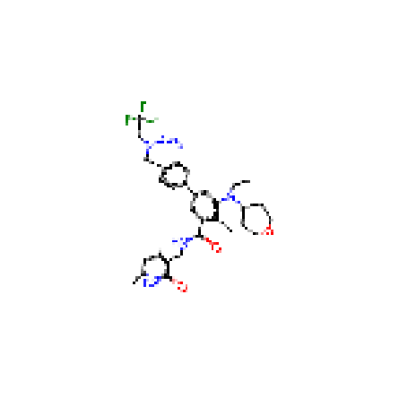 CCN(c1cc(-c2ccc(CN(N)CC(F)(F)F)cc2)cc(C(=O)NCc2c(C)cc(C)[nH]c2=O)c1C)C1CCOCC1